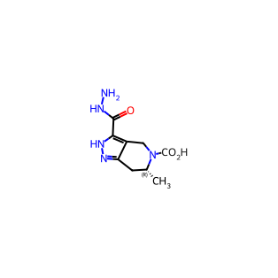 C[C@@H]1Cc2n[nH]c(C(=O)NN)c2CN1C(=O)O